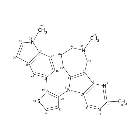 Cc1ncc2c(n1)c1c(n2-c2ccsc2-c2ccc3c(ccn3C)c2)CCCN(C)C1